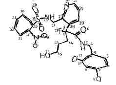 O=C(NCc1ccc(Cl)cc1Cl)[C@](F)(CCCO)c1cccnc1CNS(=O)(=O)c1ccccc1[N+](=O)[O-]